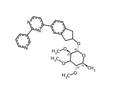 COC1[C@@H](OC)[C@H](OC2Cc3ccc(-c4ccnc(-c5cccnc5)n4)cc3C2)O[C@@H](C)[C@@H]1OC